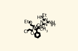 CCNc1nc(NC(C)C)nc(SC)n1.CCOCCN(C(=O)CCl)C(=C(C)C)c1ccccc1